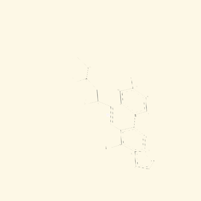 CC(C)c1c(/C=C/C(O)CC(O)CC(=O)O)c(-c2ccc(F)cc2)nn2cccc12